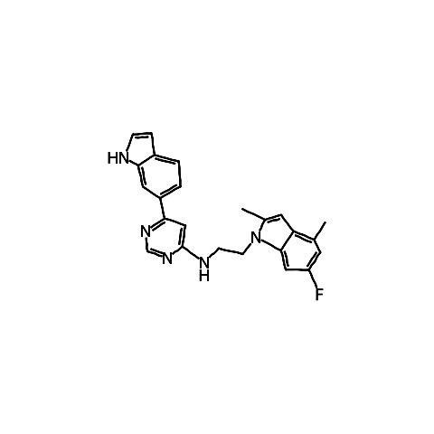 Cc1cc(F)cc2c1cc(C)n2CCNc1cc(-c2ccc3cc[nH]c3c2)ncn1